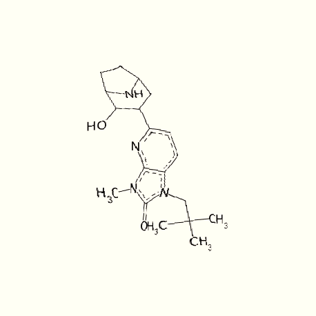 Cn1c(=O)n(CC(C)(C)C)c2ccc(C3CC4CCC(N4)C3O)nc21